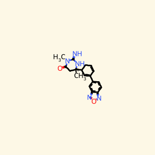 CN1C(=N)N[C@](C)(C2C=C(c3ccc4nonc4c3)C=CC2)CC1=O